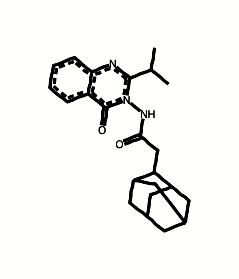 CC(C)c1nc2ccccc2c(=O)n1NC(=O)CC1C2CC3CC(C2)CC1C3